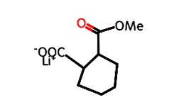 COC(=O)C1CCCCC1C(=O)[O-].[Li+]